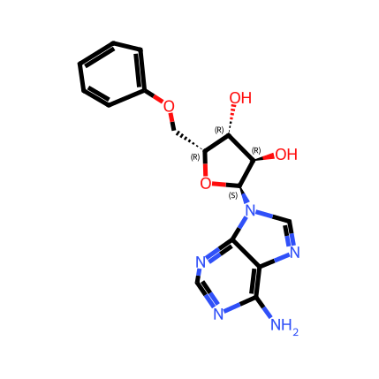 Nc1ncnc2c1ncn2[C@H]1O[C@H](COc2ccccc2)[C@H](O)[C@H]1O